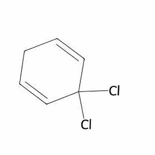 ClC1(Cl)C=CCC=C1